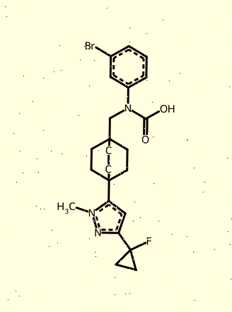 Cn1nc(C2(F)CC2)cc1C12CCC(CN(C(=O)O)c3cccc(Br)c3)(CC1)CC2